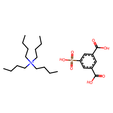 CCCC[N+](CCCC)(CCCC)CCCC.O=C(O)c1cc(C(=O)O)cc(S(=O)(=O)O)c1